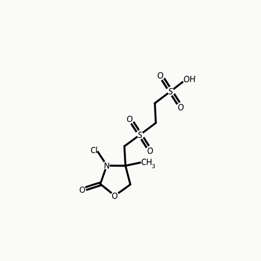 CC1(CS(=O)(=O)CCS(=O)(=O)O)COC(=O)N1Cl